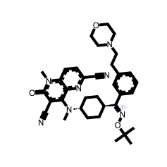 Cn1c(=O)c(C#N)c(N(C)[C@H]2CC[C@H](/C(=N\OC(C)(C)C)c3cccc(CCN4CCOCC4)c3)CC2)c2nc(C#N)ccc21